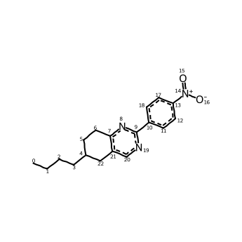 CCCCC1CCc2nc(-c3ccc([N+](=O)[O-])cc3)ncc2C1